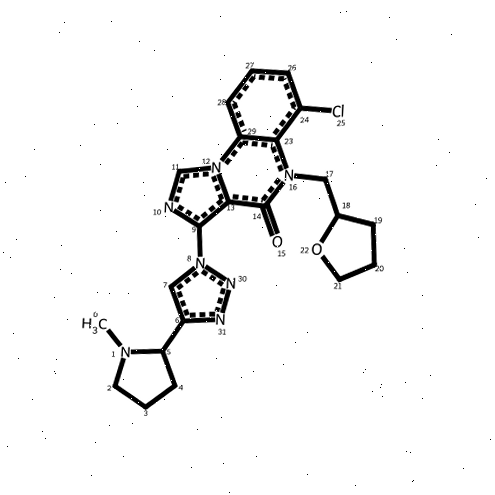 CN1CCCC1c1cn(-c2ncn3c2c(=O)n(CC2CCCO2)c2c(Cl)cccc23)nn1